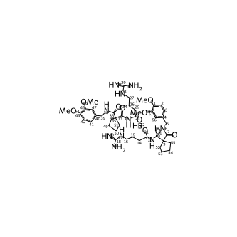 COc1ccc(CNC(=O)C2(C(=O)NC(CCCNC(=N)N)OBOC(CCCNC(=N)N)NC(=O)C3(C(=O)NCc4ccc(OC)c(OC)c4)CCCC3)CCCC2)cc1OC